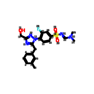 Cc1cccc(Cc2nc(CO)nn2-c2ccc(S(=O)(=O)N=CN(C)C)cc2F)c1